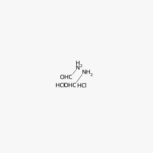 Cl.Cl.NC=O.NC=O